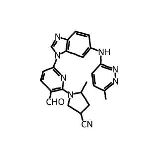 Cc1ccc(Nc2ccc3ncn(-c4ccc(C=O)c(N5CC(C#N)CC5C)n4)c3c2)nn1